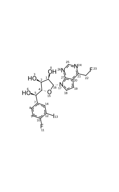 O[C@@H]1[C@H](O)[C@@H]([C@H](O)c2ccc(F)c(I)c2)O[C@H]1n1ccc2c(CF)ncnc21